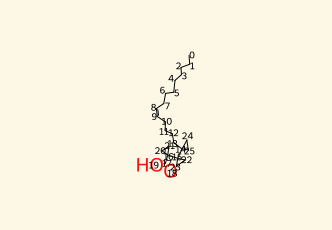 CCCCCCCC/C=C\CCCCC1(C2(C3(C(=O)O)CC3)CC2)CC1